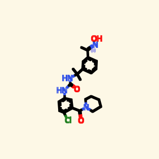 C/C(=N\O)c1cccc(C(C)(C)NC(=O)Nc2ccc(Cl)c(C(=O)N3CCCCC3)c2)c1